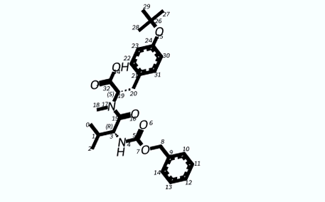 CC(C)[C@@H](NC(=O)OCc1ccccc1)C(=O)N(C)[C@@H](Cc1ccc(OC(C)(C)C)cc1)C(=O)O